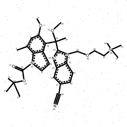 COc1cc(C)c2c(ccn2C(=O)OC(C)(C)C)c1C(C)(OC)c1nc2cc(C#N)ccc2n1COCC[Si](C)(C)C